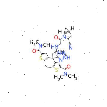 C[C@@H](CC1(c2nn[nH]n2)c2cc(C(=O)N(C)C)sc2CCc2sc(C(=O)N(C)C)cc21)NCC(=O)N1C(C#N)C[C@@H]2C[C@@H]21